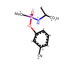 COP(=O)(NC(C)C(=O)O)Oc1cccc(C#N)c1